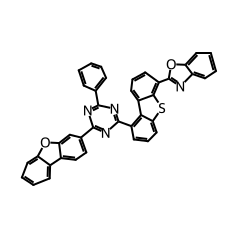 c1ccc(-c2nc(-c3ccc4c(c3)oc3ccccc34)nc(-c3cccc4sc5c(-c6nc7ccccc7o6)cccc5c34)n2)cc1